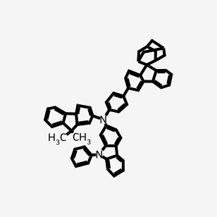 CC1(C)c2ccccc2-c2ccc(N(c3ccc(-c4ccc5c(c4)-c4ccccc4C54C5CC6CC(C5)CC4C6)cc3)c3ccc4c5ccccc5n(-c5ccccc5)c4c3)cc21